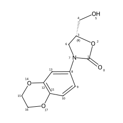 O=C1O[C@@H](CO)CN1c1ccc2c(c1)OCCO2